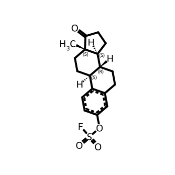 C[C@]12CC[C@@H]3c4ccc(OS(=O)(=O)F)cc4CC[C@H]3[C@@H]1CCC2=O